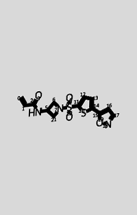 C=CC(=O)NC1CN(S(=O)(=O)c2ccc(-c3ccno3)s2)C1